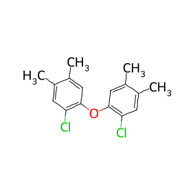 Cc1cc(Cl)c(Oc2cc(C)c(C)cc2Cl)cc1C